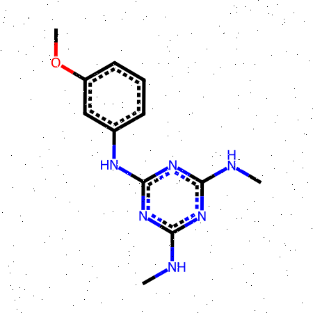 CNc1nc(NC)nc(Nc2cccc(OC)c2)n1